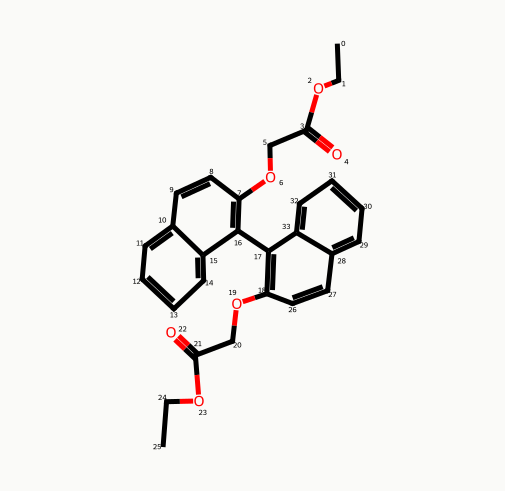 CCOC(=O)COc1ccc2ccccc2c1-c1c(OCC(=O)OCC)ccc2ccccc12